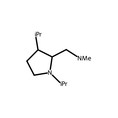 CNCC1C(C(C)C)CCN1C(C)C